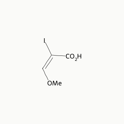 CO/C=C(/I)C(=O)O